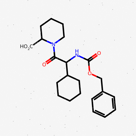 O=C(NC(C(=O)N1CCCCC1C(=O)O)C1CCCCC1)OCc1ccccc1